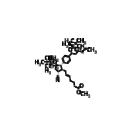 CCCCCC(O[Si](C)(C)C(C)(C)C)c1ccc([C@@H]2[C@@H](CC=CCCCC(=O)OC)[C@H](C#N)C[C@H]2O[Si](C)(C)C(C)(C)C)cc1